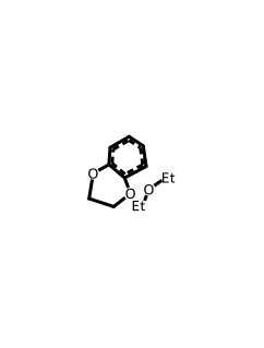 CCOCC.c1ccc2c(c1)OCCO2